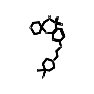 O=S1(=O)NCC2(CCOCC2)Oc2nc(OCCN3CCC(F)(F)CC3)ccc21